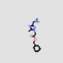 CNCc1nc(C)n(CC(=O)OCc2ccccc2)n1